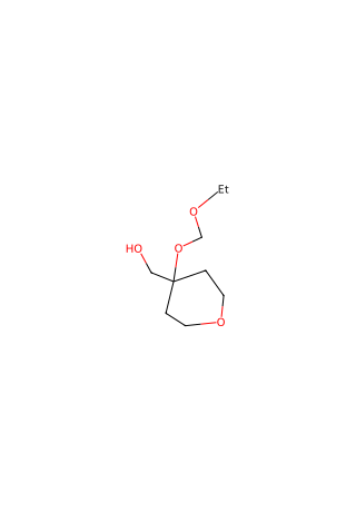 CCOCOC1(CO)CCOCC1